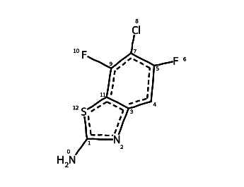 Nc1nc2cc(F)c(Cl)c(F)c2s1